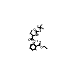 CCOC(=O)c1ccccc1NC(=O)C(CC)NC(=O)OC(C)(C)C